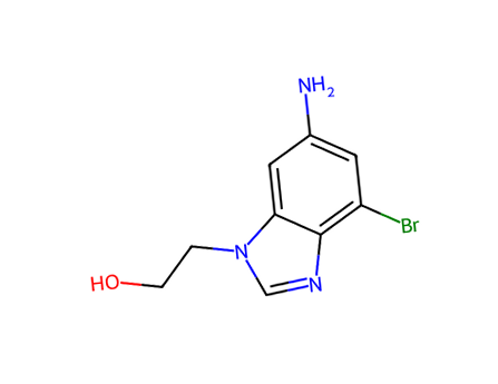 Nc1cc(Br)c2ncn(CCO)c2c1